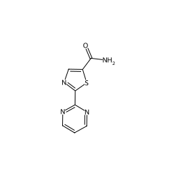 NC(=O)c1cnc(-c2ncccn2)s1